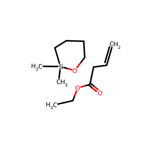 C=CCC(=O)OCC.C[Si]1(C)CCCCO1